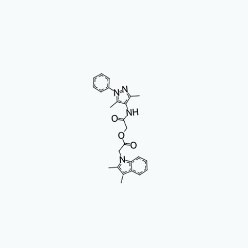 Cc1nn(-c2ccccc2)c(C)c1NC(=O)COC(=O)Cn1c(C)c(C)c2ccccc21